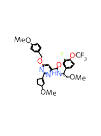 COC[C@@H](NC(=O)c1cc(OCc2ccc(OC)cc2)nc(C2=CC(OC)CC2)n1)c1ccc(OC(F)(F)F)c(F)c1